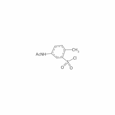 CC(=O)Nc1ccc(C)c(S(=O)(=O)Cl)c1